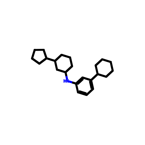 c1cc(NC2CCCC(C3CCCC3)C2)cc(C2CCCCC2)c1